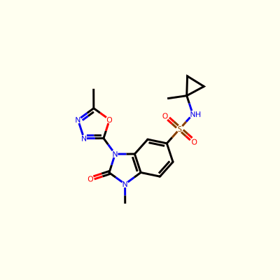 Cc1nnc(-n2c(=O)n(C)c3ccc(S(=O)(=O)NC4(C)CC4)cc32)o1